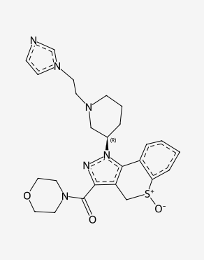 O=C(c1nn([C@@H]2CCCN(CCn3ccnc3)C2)c2c1C[S+]([O-])c1ccccc1-2)N1CCOCC1